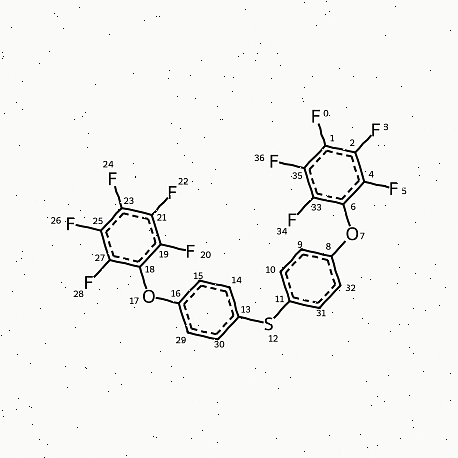 Fc1c(F)c(F)c(Oc2ccc(Sc3ccc(Oc4c(F)c(F)c(F)c(F)c4F)cc3)cc2)c(F)c1F